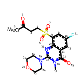 COC(=O)CCS(=O)(=O)c1cc(F)cc2c(=O)n(C)c(N3CCOCC3)nc12